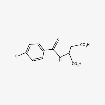 O=C(O)CC(NC(=S)c1ccc(Cl)cc1)C(=O)O